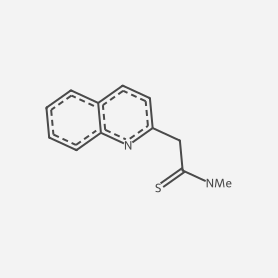 CNC(=S)Cc1ccc2ccccc2n1